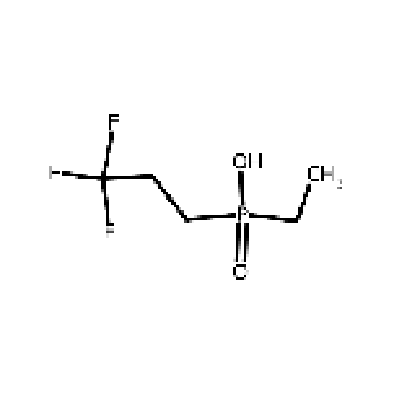 CCP(=O)(O)CCC(F)(F)F